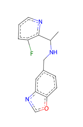 CC(NCc1ccc2ocnc2c1)c1ncccc1F